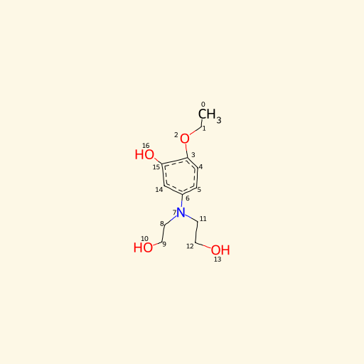 CCOc1ccc(N(CCO)CCO)cc1O